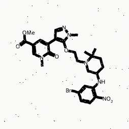 COC(=O)c1cc(-c2cnn(C)c2OCCN2CC(Nc3cc(Br)ccc3[N+](=O)[O-])CCC2(C)C)c(=O)n(C)c1